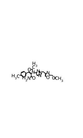 COCc1nc(Cn2ncc(N3C(C(N)=O)=C(c4ccc(C)cc4)OC3C)n2)co1